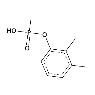 Cc1cccc(OP(C)(=O)O)c1C